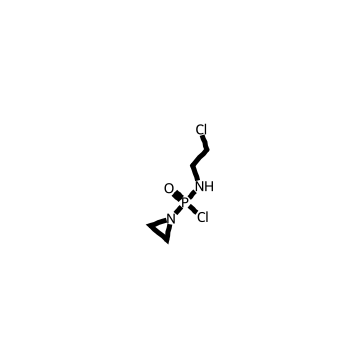 O=P(Cl)(NCCCl)N1CC1